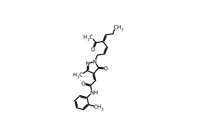 CC/C=C(\C=C/CN1N=C(C)/C(=C\C(=O)Nc2ccccc2C)C1=O)C(C)=O